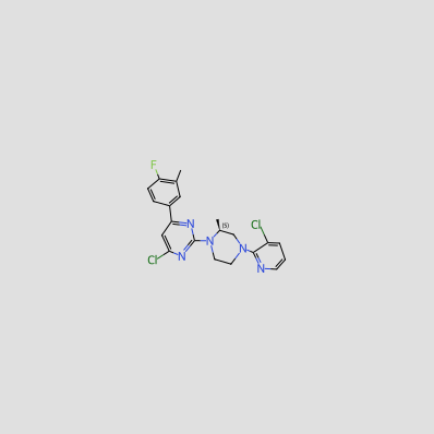 Cc1cc(-c2cc(Cl)nc(N3CCN(c4ncccc4Cl)C[C@@H]3C)n2)ccc1F